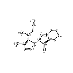 C#CCN(C)c1c(C)cnn1-c1nn2c(c1Cl)CCCC2